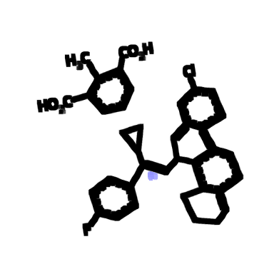 Cc1c(C(=O)O)cccc1C(=O)O.Fc1ccc(/C(=C/C2C=c3cc(Cl)ccc3=c3ccc4c(c32)CCCC=4)C2CC2)cc1